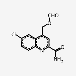 NC(=O)c1cc(COC=O)c2cc(Cl)ccc2n1